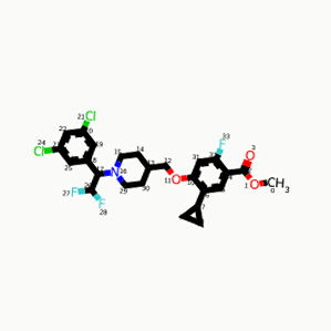 COC(=O)c1cc(C2CC2)c(OCC2CCN(C(c3cc(Cl)cc(Cl)c3)C(F)F)CC2)cc1F